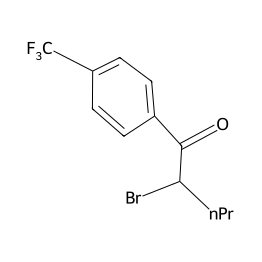 CCCC(Br)C(=O)c1ccc(C(F)(F)F)cc1